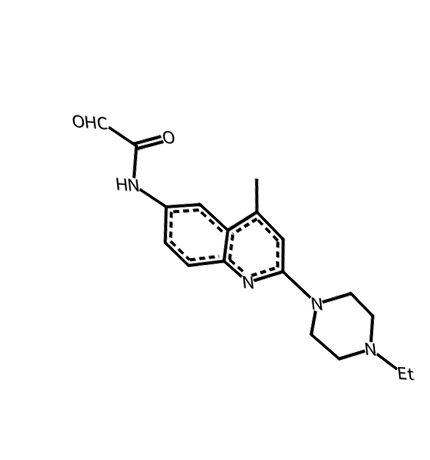 CCN1CCN(c2cc(C)c3cc(NC(=O)C=O)ccc3n2)CC1